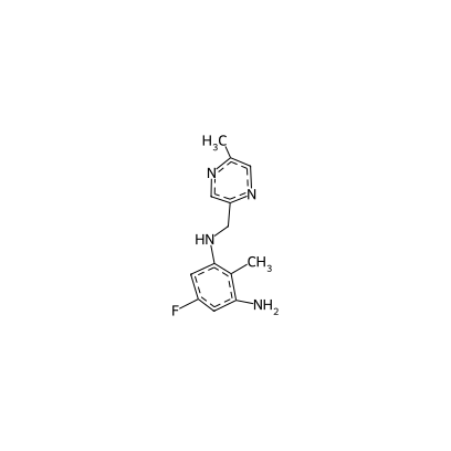 Cc1cnc(CNc2cc(F)cc(N)c2C)cn1